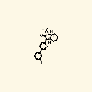 CN1C(=O)[C@H](c2ccc(-c3cccc(F)c3)cn2)[C@@H]2CCCC[C@@H]21